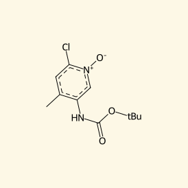 Cc1cc(Cl)[n+]([O-])cc1NC(=O)OC(C)(C)C